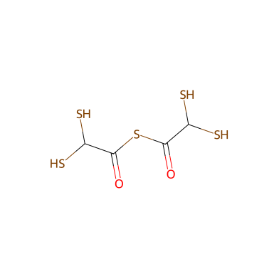 O=C(SC(=O)C(S)S)C(S)S